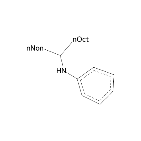 CCCCCCCCCC(CCCCCCCC)Nc1ccccc1